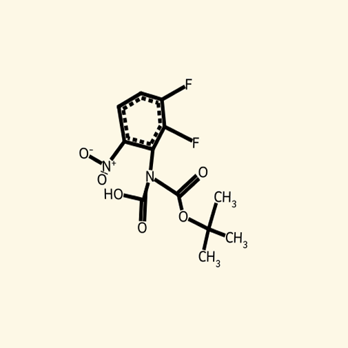 CC(C)(C)OC(=O)N(C(=O)O)c1c([N+](=O)[O-])ccc(F)c1F